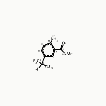 CNC(=O)c1cc(C(F)(C(F)(F)F)C(F)(F)F)ccc1N